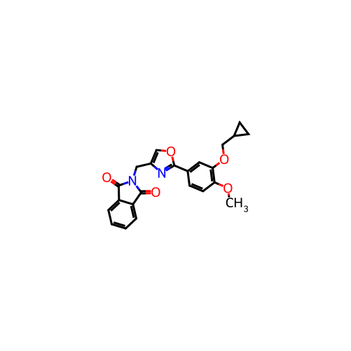 COc1ccc(-c2nc(CN3C(=O)c4ccccc4C3=O)co2)cc1OCC1CC1